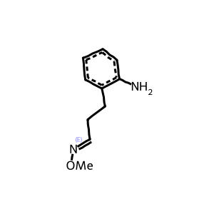 CO/N=C/CCc1ccccc1N